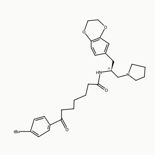 CC(C)(C)c1ccc(C(=O)CCCCCC(=O)N[C@@H](Cc2ccc3c(c2)OCCO3)CN2CCCC2)cc1